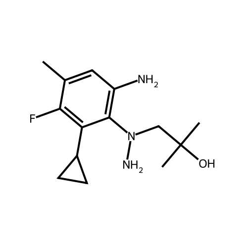 Cc1cc(N)c(N(N)CC(C)(C)O)c(C2CC2)c1F